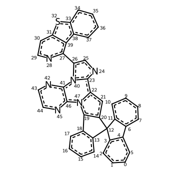 c1ccc2c(c1)-c1ccccc1C21c2ccccc2-c2c1cc1c3ncc(-c4nccc5sc6ccccc6c45)n3c3nccnc3n21